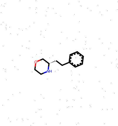 c1ccc(CC[C@H]2COCCN2)cc1